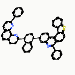 c1ccc(-c2ccc3ccc4ccc(-c5ccc(-c6ccc7c(c6)nc(-c6ccccc6)c6ccc8sc9ccccc9c8c67)c6ccccc56)nc4c3n2)cc1